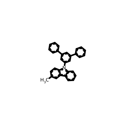 Cc1ccc2c(c1)c1ccccc1n2-c1cc(-c2ccccc2)cc(-c2ccccc2)c1